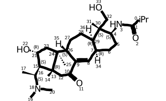 CC(C)C(=O)N[C@H]1CC[C@H]2C=C3C(=O)C[C@]4(C)[C@@H]([C@H](C)N(C)C)[C@H](O)C[C@@]4(C)[C@@H]3CC[C@H]2[C@]1(C)CO